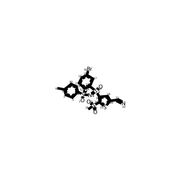 Cc1ccc(S(=O)(=O)N=S(=O)(c2cccc(Br)c2)c2cc(C#N)sc2S(C)(=O)=O)cc1